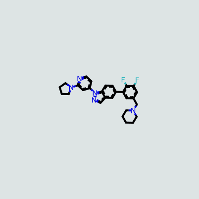 Fc1cc(CN2CCCCC2)cc(-c2ccc3c(cnn3-c3ccnc(N4CCCC4)c3)c2)c1F